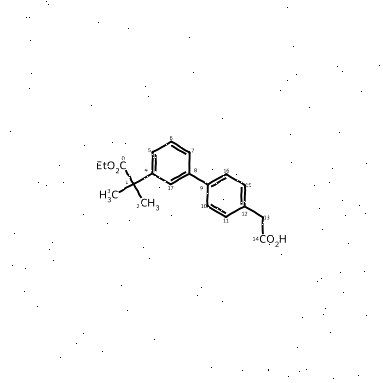 CCOC(=O)C(C)(C)c1cccc(-c2ccc(CC(=O)O)cc2)c1